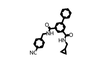 N#Cc1ccc(CNC(=O)c2cc(C(=O)NCC3CC3)cc(-c3ccccc3)c2)cc1